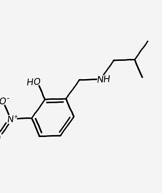 CC(C)CNCc1cccc([N+](=O)[O-])c1O